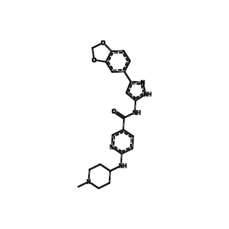 CN1CCC(Nc2ccc(C(=O)Nc3cc(-c4ccc5c(c4)OCO5)n[nH]3)cn2)CC1